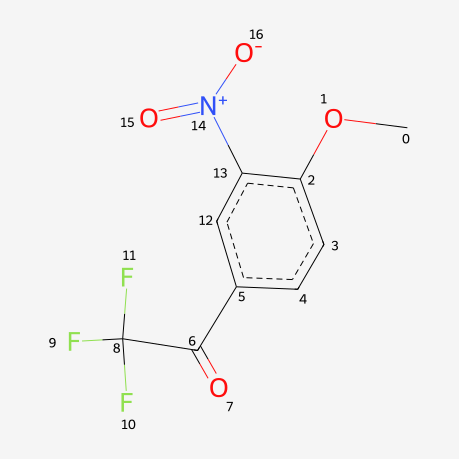 COc1ccc(C(=O)C(F)(F)F)cc1[N+](=O)[O-]